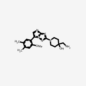 COc1cc(C)c(C)cc1-c1cnc2sc(N3CCC(O)(CN)CC3)nn12